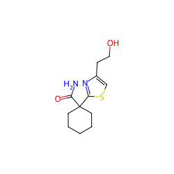 NC(=O)C1(c2nc(CCO)cs2)CCCCC1